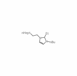 CCCCCCCCCN1C=CN(CCCC)C1CC